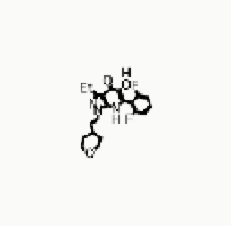 CCc1nn(CCC2CCOCC2)c2[nH]c(-c3c(F)cccc3F)c(O)c(=O)c12